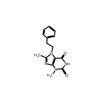 Cc1nc2c(c(=O)[nH]c(=O)n2C)n1CCc1ccccc1